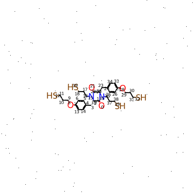 O=C1[C@H](Cc2ccc(OCCCS)cc2)N(CCCS)C(=O)[C@@H](Cc2ccc(OCCCS)cc2)N1CCCS